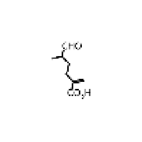 C=C(CCC(C)C=O)C(=O)O